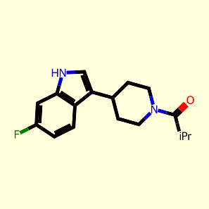 CC(C)C(=O)N1CCC(c2c[nH]c3cc(F)ccc23)CC1